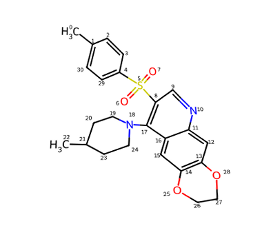 Cc1ccc(S(=O)(=O)c2cnc3cc4c(cc3c2N2CCC(C)CC2)OCCO4)cc1